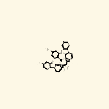 Cc1cc(C)nc(-c2c(-n3c4cc(C(F)(F)F)ccc4c4ccc(C(F)(F)F)cc43)cc(C#N)cc2-n2c3cc(C(F)(F)F)ccc3c3ccc(C(F)(F)F)cc32)n1